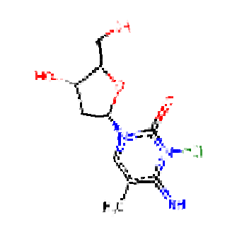 Cc1cn([C@H]2C[C@H](O)[C@@H](CO)O2)c(=O)n(Cl)c1=N